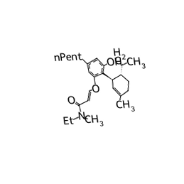 C=C(C)[C@@H]1CCC(C)=C[C@H]1c1c(O)cc(CCCCC)cc1O/C=C/C(=O)N(C)CC